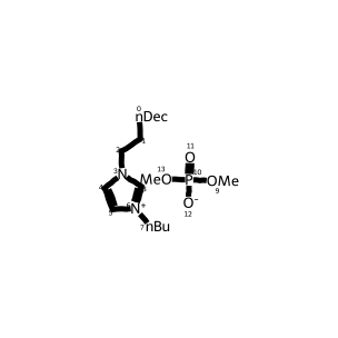 CCCCCCCCCCCCn1cc[n+](CCCC)c1.COP(=O)([O-])OC